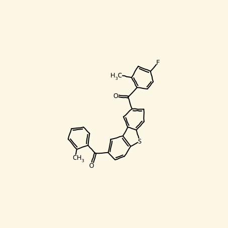 Cc1ccccc1C(=O)c1ccc2sc3ccc(C(=O)c4ccc(F)cc4C)cc3c2c1